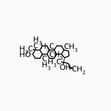 C=CCC(C)(O)[C@@H]1CC[C@]2(C)CC[C@]3(C)C(CCC4[C@@]5(C)CC[C@H](O)C(C)(C)C5CC[C@]43C)C12